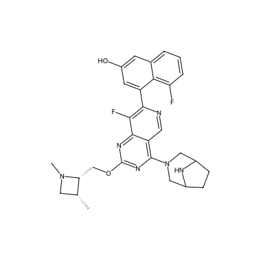 C[C@@H]1CN(C)[C@@H]1COc1nc(N2CC3CCC(C2)N3)c2cnc(-c3cc(O)cc4cccc(F)c34)c(F)c2n1